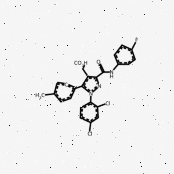 Cc1ccc(-c2c(CC(=O)O)c(C(=O)Nc3ccc(F)cc3)nn2-c2ccc(Cl)cc2Cl)cc1